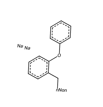 CCCCCCCCCCc1ccccc1Oc1ccccc1.[Na].[Na]